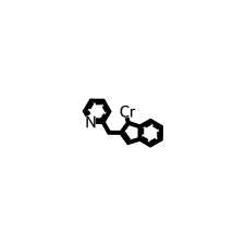 [Cr][CH]1C(Cc2ccccn2)=Cc2ccccc21